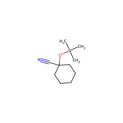 C[Si](C)(C)OC1(C#N)CCCCC1